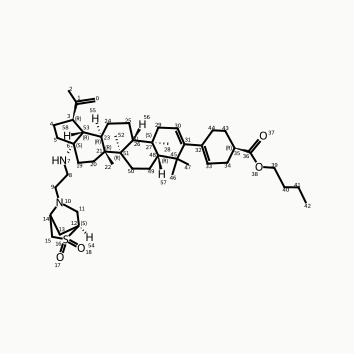 C=C(C)[C@@H]1CC[C@]2(NCCN3C[C@@H]4CC3CS4(=O)=O)CC[C@]3(C)[C@H](CC[C@@H]4[C@@]5(C)CC=C(C6=CC[C@H](C(=O)OCCCC)CC6)C(C)(C)[C@@H]5CC[C@]43C)[C@@H]12